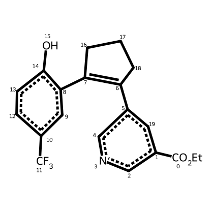 CCOC(=O)c1cncc(C2=C(c3cc(C(F)(F)F)ccc3O)CCC2)c1